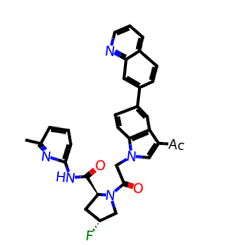 CC(=O)c1cn(CC(=O)N2C[C@H](F)C[C@H]2C(=O)Nc2cccc(C)n2)c2ccc(-c3ccc4cccnc4c3)cc12